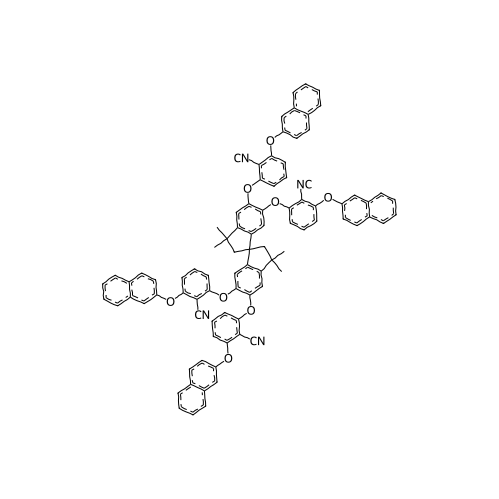 [C-]#[N+]c1c(Oc2ccc3ccccc3c2)cccc1Oc1cc2c(cc1Oc1cccc(Oc3ccc4ccccc4c3)c1[N+]#[C-])C1(CC(C)(C)c3cc(Oc4cccc(Oc5ccc6ccccc6c5)c4C#N)c(Oc4cccc(Oc5ccc6ccccc6c5)c4C#N)cc31)CC2(C)C